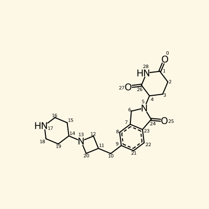 O=C1CCC(N2Cc3cc(CC4CN(C5CCNCC5)C4)ccc3C2=O)C(=O)N1